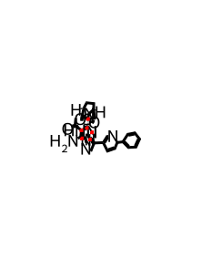 CC(=O)c1c([C@@H]2C[C@H]3CC[C@@H](C2)N3S(=O)(=O)c2nnc[nH]2)nc2c(-c3ccc(-c4ccccc4)nc3)cnn2c1N